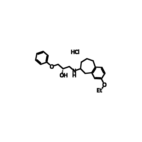 CCOc1ccc2c(c1)CC(NC[C@H](O)COc1ccccc1)CCC2.Cl